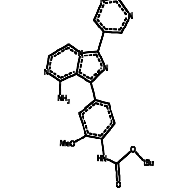 COc1cc(-c2nc(-c3cncnc3)n3ccnc(N)c23)ccc1NC(=O)OC(C)(C)C